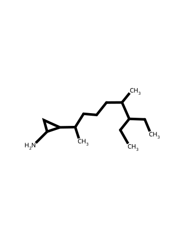 CCC(CC)C(C)CCCC(C)C1CC1N